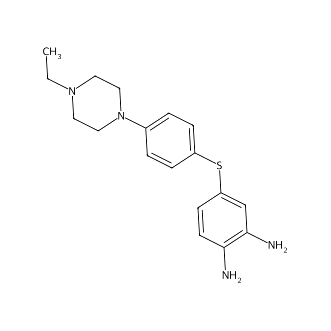 CCN1CCN(c2ccc(Sc3ccc(N)c(N)c3)cc2)CC1